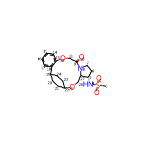 CS(=O)(=O)N[C@H]1CCN2C(=O)COc3ccccc3C3CCC(CC3)OCC12